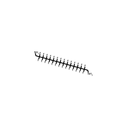 NCC(F)(F)C(F)(F)C(F)(F)C(F)(F)C(F)(F)C(F)(F)C(F)(F)C(F)(F)C(F)(F)C(F)(F)C(F)(F)C(F)(F)C(F)(F)C(F)(F)CN